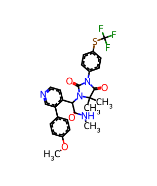 CNC(=O)C(c1ccncc1-c1ccc(OC)cc1)N1C(=O)N(c2ccc(SC(F)(F)F)cc2)C(=O)C1(C)C